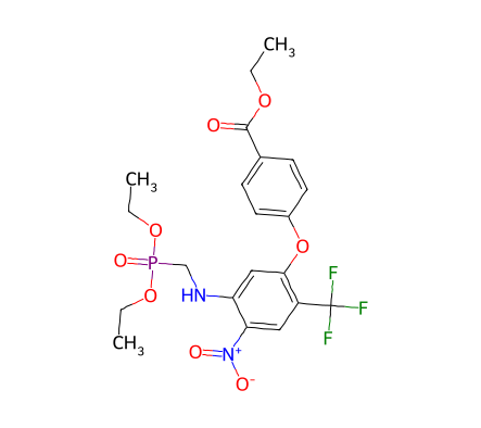 CCOC(=O)c1ccc(Oc2cc(NCP(=O)(OCC)OCC)c([N+](=O)[O-])cc2C(F)(F)F)cc1